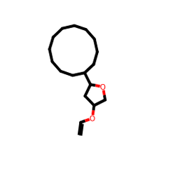 C=COC1COC(C2CCCCCCCCCCC2)C1